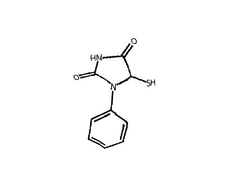 O=C1NC(=O)N(c2ccccc2)C1S